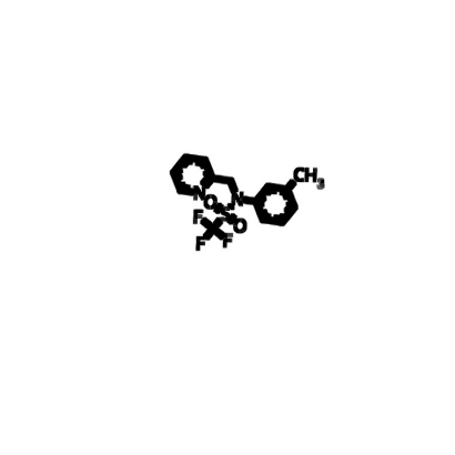 Cc1cccc(N(Cc2ccccn2)S(=O)(=O)C(F)(F)F)c1